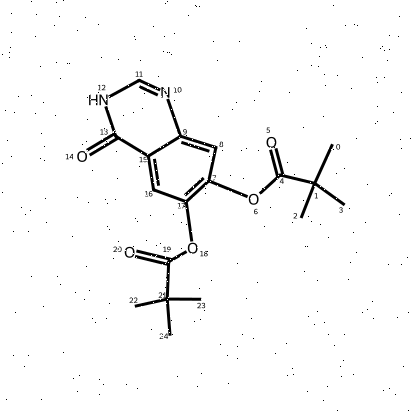 CC(C)(C)C(=O)Oc1cc2nc[nH]c(=O)c2cc1OC(=O)C(C)(C)C